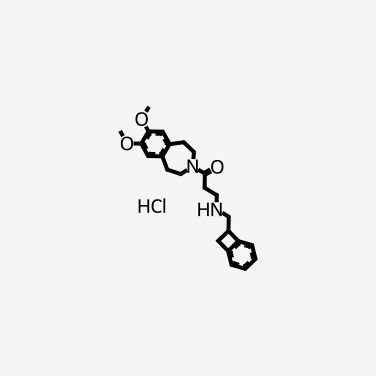 COc1cc2c(cc1OC)CCN(C(=O)CCNCC1Cc3ccccc31)CC2.Cl